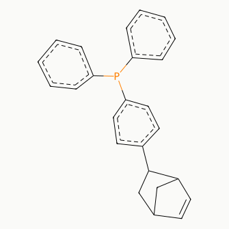 C1=CC2CC1CC2c1ccc(P(c2ccccc2)c2ccccc2)cc1